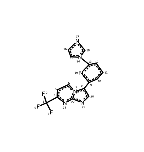 FC(F)(F)c1ccn2c(-c3cccc(-n4ccnc4)n3)cnc2n1